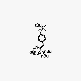 CCC[CH2][Sn]([CH2]CCC)([CH2]CCC)/[C](=C/c1ccc(O[Si](C)(C)C(C)(C)C)cc1)N=C=O